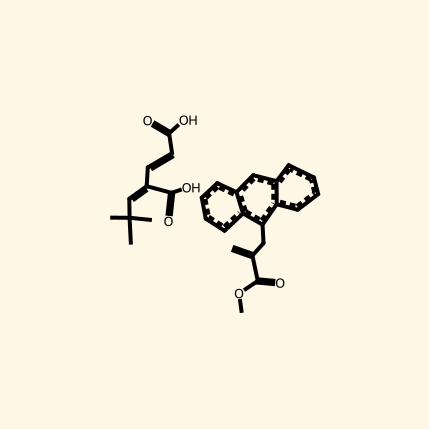 C=C(Cc1c2ccccc2cc2ccccc12)C(=O)OC.CC(C)(C)C=C(C=CC(=O)O)C(=O)O